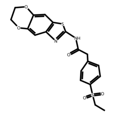 CCS(=O)(=O)c1ccc(CC(=O)Nc2nc3cc4c(cc3s2)OCCO4)cc1